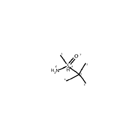 CC(C)(C)[SH](C)(N)=O